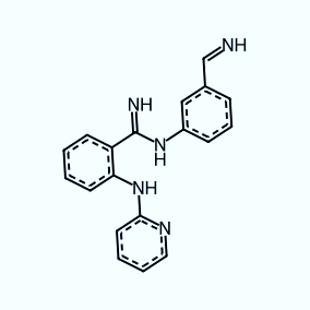 N=Cc1cccc(NC(=N)c2ccccc2Nc2ccccn2)c1